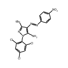 CC(C)(C)c1nn(-c2c(Cl)cc(Cl)cc2Cl)c(N)c1N=Nc1ccc([N+](=O)[O-])cc1